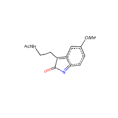 COc1ccc2c(c1)=C(CCNC(C)=O)C(=O)N=2